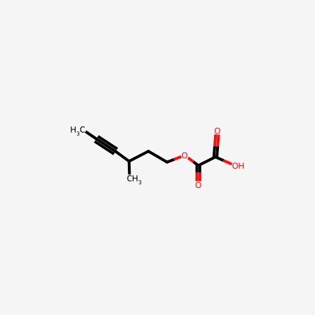 CC#CC(C)CCOC(=O)C(=O)O